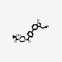 N#CCC1CNc2ccc(-c3ccc(C(=O)N4CCN(C(=O)C5(O)CC5)CC4)cc3)cc21